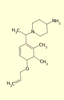 C=CCOC1C=CC(C(C)N2CCC(N)CC2)=C(C)C1C